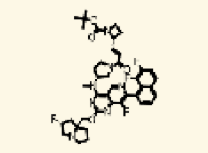 CN(c1nc(OC[C@@]23CCCN2C[C@H](F)C3)nc2c(F)c(-c3cccc4ccc(F)c(F)c34)ncc12)[C@@H]1CCN(C(=O)/C=C/[C@H]2CCN2C(=O)OC(C)(C)C)C1